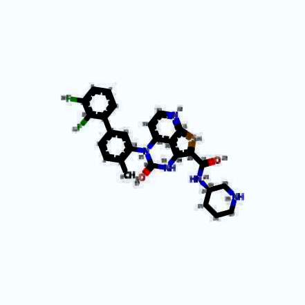 Cc1ccc(-c2cccc(F)c2F)cc1N1C(=O)Nc2c(C(=O)N[C@@H]3CCCNC3)sc3nccc1c23